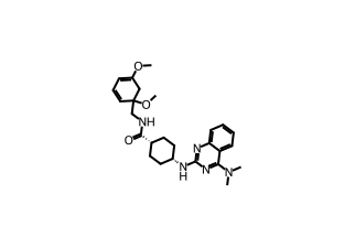 COC1=CC=CC(CNC(=O)[C@H]2CC[C@@H](Nc3nc(N(C)C)c4ccccc4n3)CC2)(OC)C1